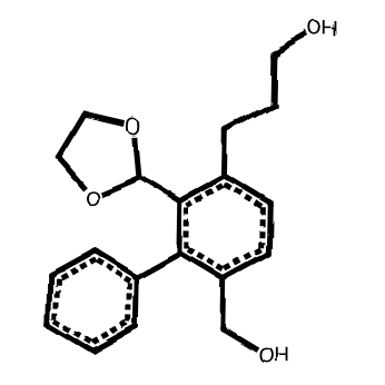 OCCCc1ccc(CO)c(-c2ccccc2)c1C1OCCO1